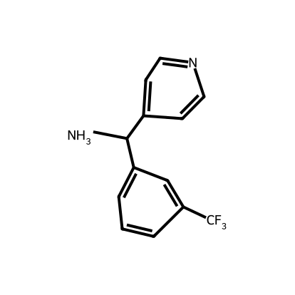 CC(c1ccncc1)c1cccc(C(F)(F)F)c1.N